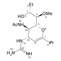 CC[C@@H](O)[C@@H](OC)[C@@H]1OC(C(C)C)=C[C@H](NC(=N)N)[C@H]1NC(C)=O